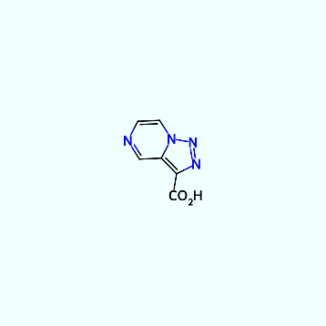 O=C(O)c1nnn2ccncc12